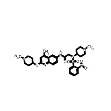 Cc1cc(OC2CCN(C)CC2)nc2ccc(NC(=O)CN(C3CCN(C)CC3)S(=O)(=O)c3ccccc3[N+](=O)[O-])cc12